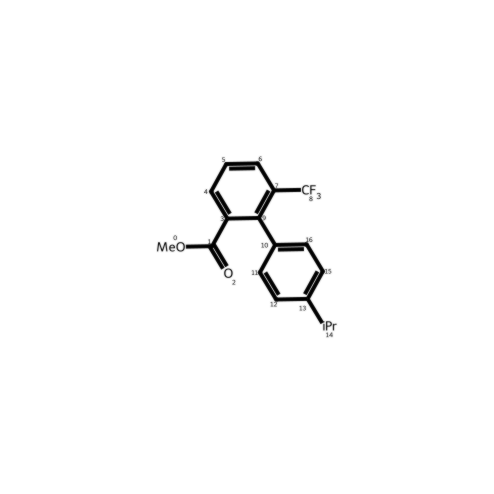 COC(=O)c1cccc(C(F)(F)F)c1-c1ccc(C(C)C)cc1